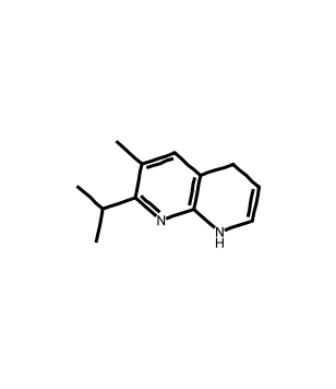 Cc1cc2c(nc1C(C)C)NC=CC2